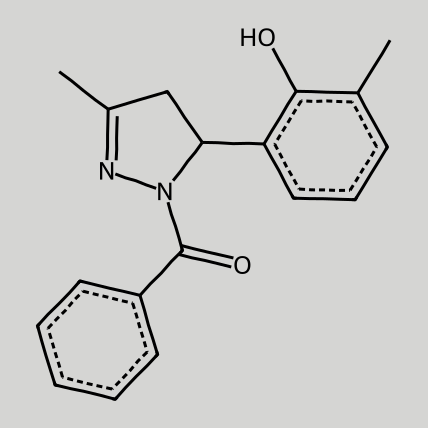 CC1=NN(C(=O)c2ccccc2)C(c2cccc(C)c2O)C1